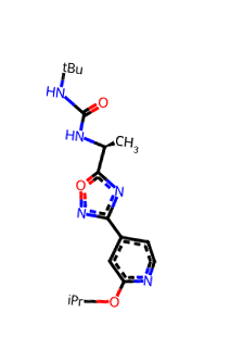 CC(C)Oc1cc(-c2noc([C@H](C)NC(=O)NC(C)(C)C)n2)ccn1